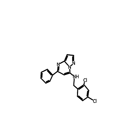 Clc1ccc(CNc2cc(-c3ccccc3)nc3ccnn23)c(Cl)c1